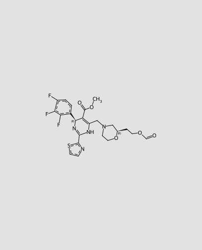 COC(=O)C1=C(CN2CCO[C@H](CCOC=O)C2)NC(c2nccs2)=N[C@H]1c1ccc(F)c(F)c1F